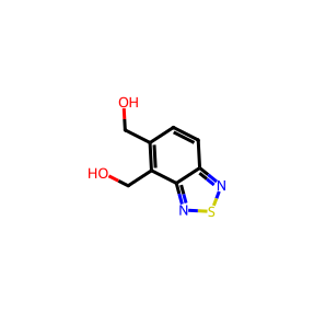 OCc1ccc2nsnc2c1CO